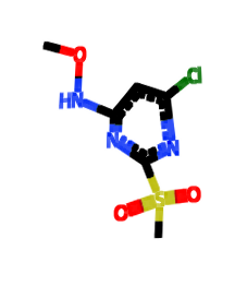 CONc1cc(Cl)nc(S(C)(=O)=O)n1